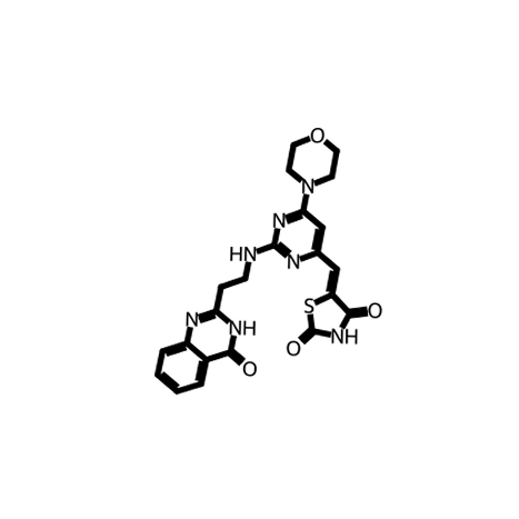 O=C1NC(=O)C(=Cc2cc(N3CCOCC3)nc(NCCc3nc4ccccc4c(=O)[nH]3)n2)S1